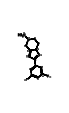 O=C(O)N1CCn2nc(-c3cc(F)cc(F)c3)nc2C1